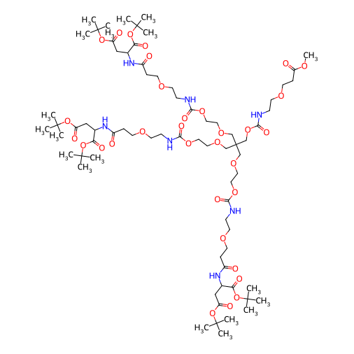 COC(=O)CCOCCNC(=O)OCC(COCCOC(=O)NCCOCCC(=O)NC(CC(=O)OC(C)(C)C)C(=O)OC(C)(C)C)(COCCOC(=O)NCCOCCC(=O)NC(CC(=O)OC(C)(C)C)C(=O)OC(C)(C)C)COCCOC(=O)NCCOCCC(=O)NC(CC(=O)OC(C)(C)C)C(=O)OC(C)(C)C